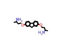 CC(N)CCOc1ccc2c(c1)Cc1cc(OCCC(C)N)ccc1-2